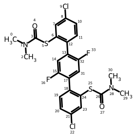 CN(C)C(=O)Sc1cc(Cl)ccc1-c1cc(F)c(-c2ccc(Cl)cc2SC(=O)N(C)C)cc1F